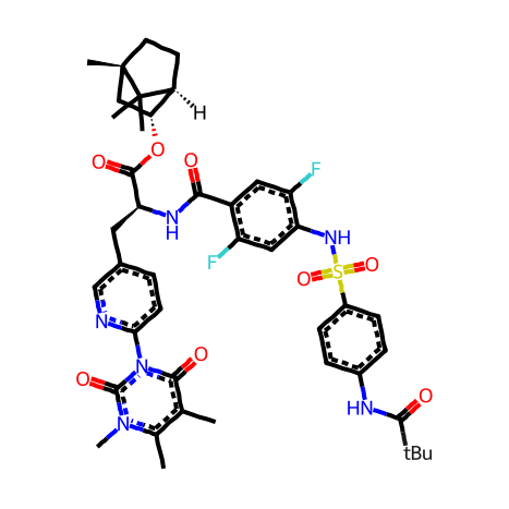 Cc1c(C)n(C)c(=O)n(-c2ccc(C[C@H](NC(=O)c3cc(F)c(NS(=O)(=O)c4ccc(NC(=O)C(C)(C)C)cc4)cc3F)C(=O)O[C@@H]3C[C@]4(C)CC[C@@H]3C4(C)C)cn2)c1=O